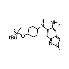 Cn1cc2cc(N)c(NC3CCC(O[Si](C)(C)C(C)(C)C)CC3)cc2n1